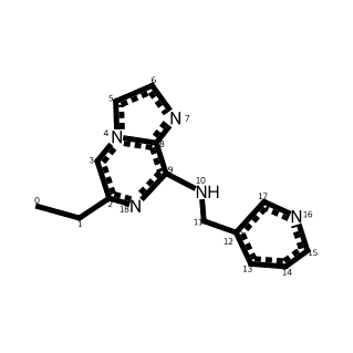 CCc1cn2ccnc2c(NCc2cccnc2)n1